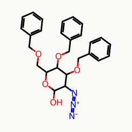 [N-]=[N+]=NC1C(O)OC(COCc2ccccc2)C(OCc2ccccc2)C1OCc1ccccc1